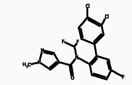 Cn1cc(C(=O)N(c2ccc(F)cc2-c2ccc(Cl)c(Cl)c2)C(F)F)cn1